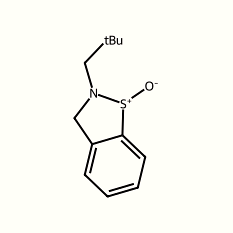 CC(C)(C)CN1Cc2ccccc2[S+]1[O-]